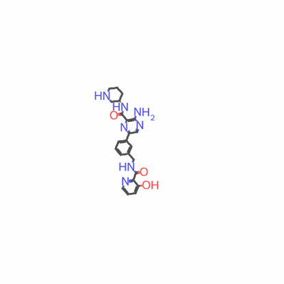 Nc1ncc(-c2cccc(CNC(=O)c3ncccc3O)c2)nc1C(=O)N[C@H]1CCCNC1